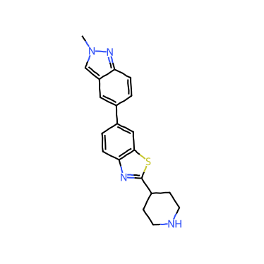 Cn1cc2cc(-c3ccc4nc(C5CCNCC5)sc4c3)ccc2n1